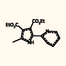 CCOC(=O)c1c(C)[nH]c(-c2ccccn2)c1C(=O)OCC